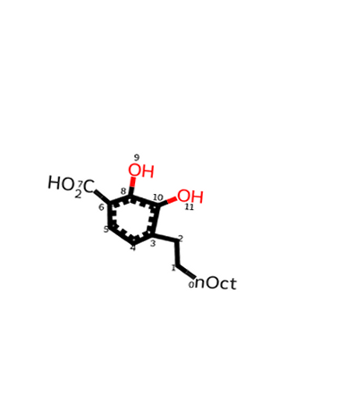 CCCCCCCCCCc1ccc(C(=O)O)c(O)c1O